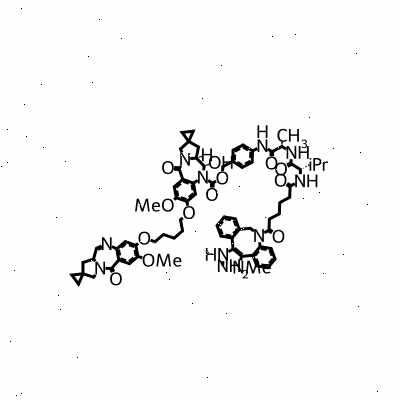 CN/C1=C(\NN)c2ccccc2CN(C(=O)CCCCC(=O)N[C@H](C(=O)N[C@@H](C)C(=O)Nc2ccc(COC(=O)N3c4cc(OCCCCCOc5cc6c(cc5OC)C(=O)N5CC7(CC7)CC5C=N6)c(OC)cc4C(=O)N4CC5(CC5)C[C@H]4[C@@H]3O)cc2)C(C)C)c2ccccc21